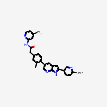 COc1ccc(-c2cc3cc(-c4ccc(CC(=O)Nc5cc(C(F)(F)F)ccn5)cc4C)cnc3[nH]2)cn1